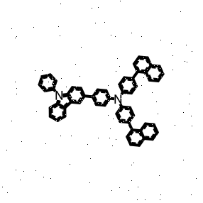 c1ccc(-n2c3ccccc3c3cc(-c4ccc(N(c5ccc(-c6cccc7ccccc67)cc5)c5ccc(-c6cccc7ccccc67)cc5)cc4)ccc32)cc1